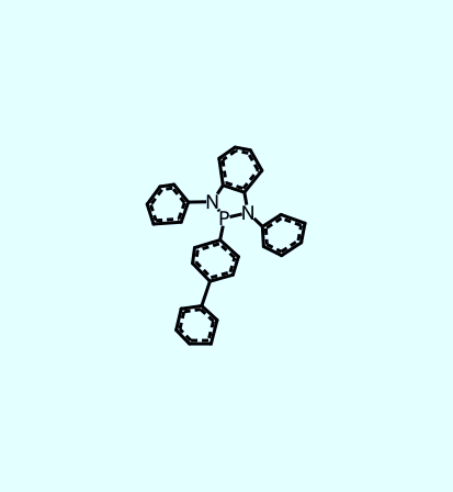 c1ccc(-c2ccc(P3N(c4ccccc4)c4ccccc4N3c3ccccc3)cc2)cc1